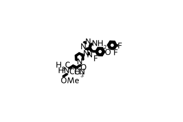 COCCNC(C)(C)C=C(C#N)C(=O)N1CCC[C@H](n2nc(-c3ccc(Oc4cccc(F)c4F)cc3F)c3c(N)ncnc32)C1